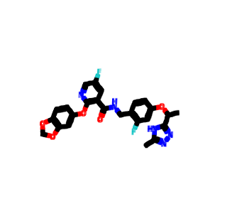 Cc1nnc(C(C)Oc2ccc(CNC(=O)c3cc(F)cnc3Oc3ccc4c(c3)OCO4)c(F)c2)[nH]1